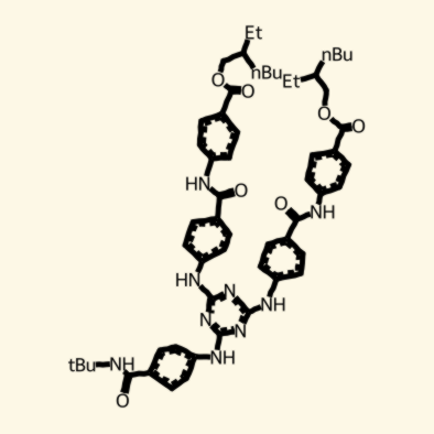 CCCCC(CC)COC(=O)c1ccc(NC(=O)c2ccc(Nc3nc(Nc4ccc(C(=O)Nc5ccc(C(=O)OCC(CC)CCCC)cc5)cc4)nc(Nc4ccc(C(=O)NC(C)(C)C)cc4)n3)cc2)cc1